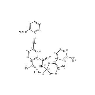 COc1ccccc1C#Cc1ccc(OC(C)C)c(C(=O)NC2(CO)CCc3[nH]c4c(C(F)(F)F)cccc4c3C2)c1